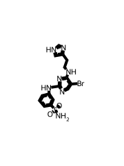 NS(=O)(=O)c1cccc(Nc2ncc(Br)c(NCCc3c[nH]cn3)n2)c1